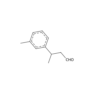 Cc1cccc(C(C)CC=O)c1